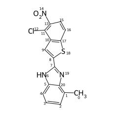 Cc1cccc2[nH]c(-c3cc4c(Cl)c([N+](=O)[O-])ccc4s3)nc12